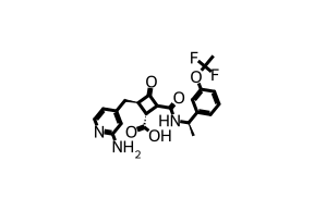 C[C@@H](NC(=O)C1C(=O)[C@H](Cc2ccnc(N)c2)[C@H]1C(=O)O)c1cccc(OC(C)(F)F)c1